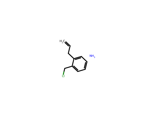 C=CCc1ccccc1CCl.N